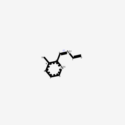 C=C/N=C\c1ncccc1C